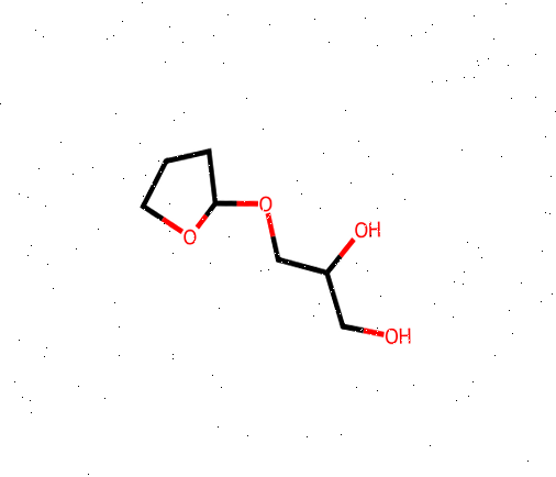 OCC(O)COC1CCCO1